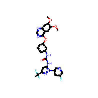 COc1cc2ncnc(Oc3cccc(NC(=O)Nc4cc(C(C)(F)F)nn4-c4cncc(F)c4)c3)c2cc1OC